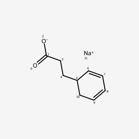 O=C([O-])CCC1C=CC=CC1.[Na+]